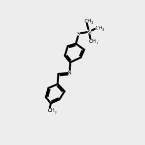 Cc1ccc(C=Nc2ccc(S[Si](C)(C)C)cc2)cc1